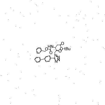 CC(C)(C)OC(=O)CC(NC(=O)OCc1ccccc1)C(=O)Cn1nnnc1-c1ccc(-c2ccccc2)cc1